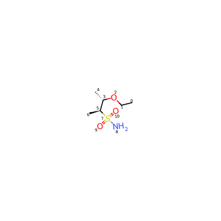 CCO[C@@H](C)[C@H](C)S(N)(=O)=O